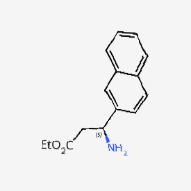 CCOC(=O)C[C@H](N)c1ccc2ccccc2c1